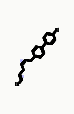 CC/C=C/C/C=C\Cc1ccc(-c2ccc(Cl)cc2)cc1